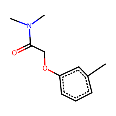 Cc1cccc(OCC(=O)N(C)C)c1